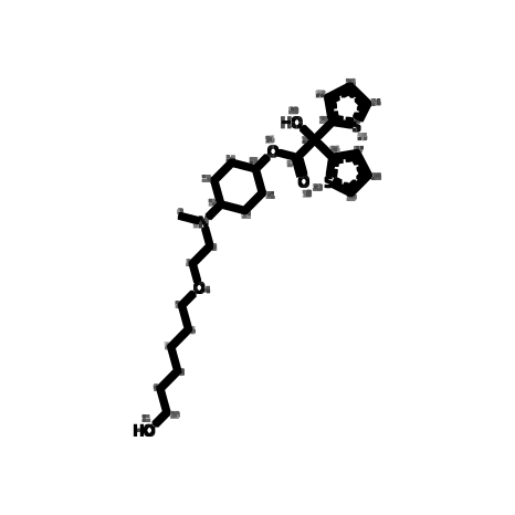 CN(CCOCCCCCCO)C1CCC(OC(=O)C(O)(c2cccs2)c2cccs2)CC1